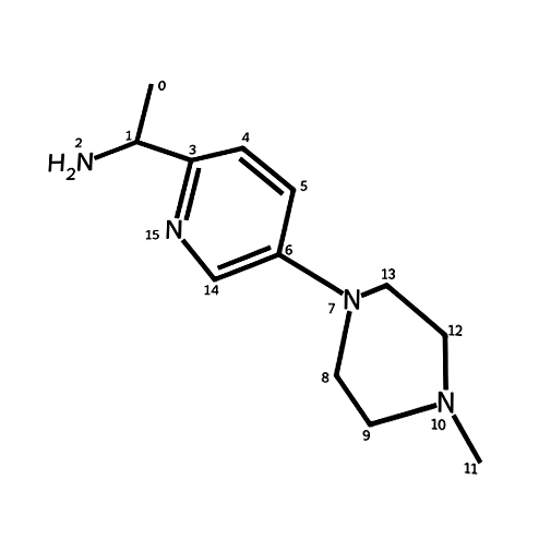 CC(N)c1ccc(N2CCN(C)CC2)cn1